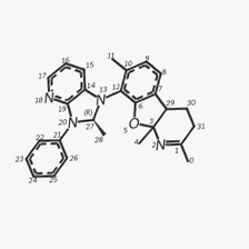 CC1=NC2(C)Oc3c(ccc(C)c3N3c4cccnc4N(c4ccccc4)[C@@H]3C)C2CC1